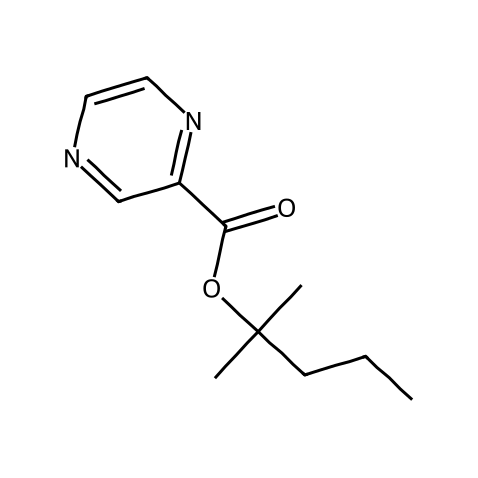 CCCC(C)(C)OC(=O)c1cnccn1